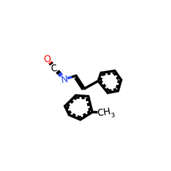 Cc1ccccc1.O=C=NC=Cc1ccccc1